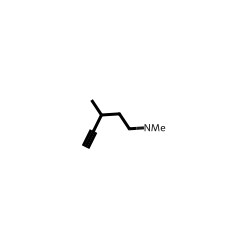 C#CC(C)CCNC